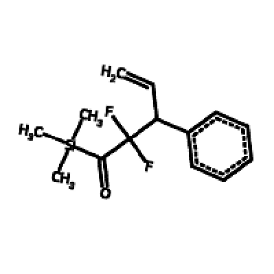 C=CC(c1ccccc1)C(F)(F)C(=O)[Si](C)(C)C